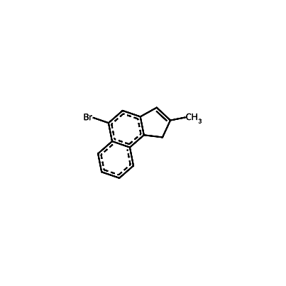 CC1=Cc2cc(Br)c3ccccc3c2C1